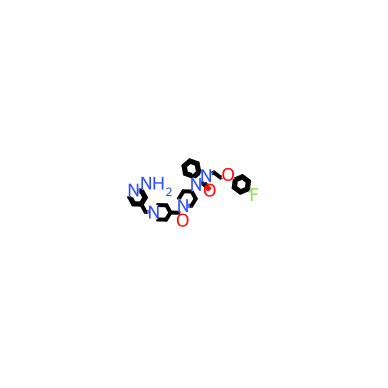 Nc1cc(CN2CCC(C(=O)N3CCC(n4c(=O)n(CCOc5ccc(F)cc5)c5ccccc54)CC3)CC2)ccn1